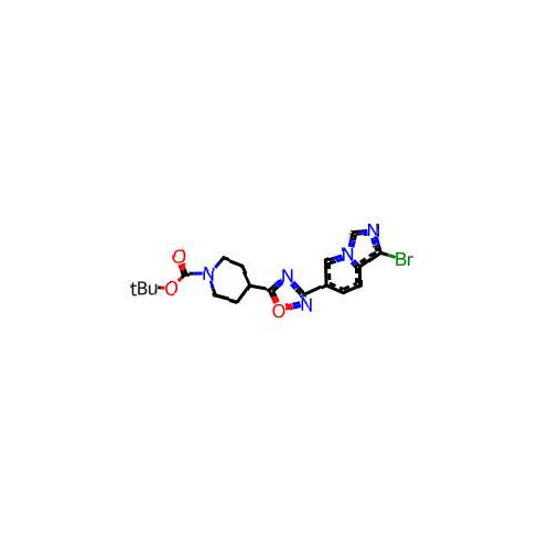 CC(C)(C)OC(=O)N1CCC(c2nc(-c3ccc4c(Br)ncn4c3)no2)CC1